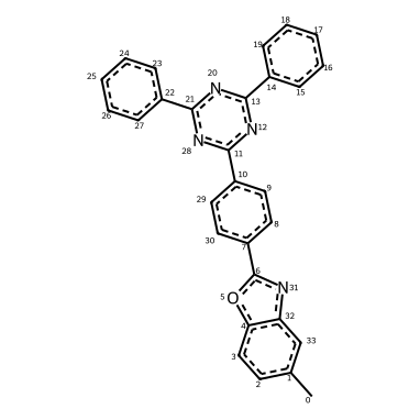 Cc1ccc2oc(-c3ccc(-c4nc(-c5ccccc5)nc(-c5ccccc5)n4)cc3)nc2c1